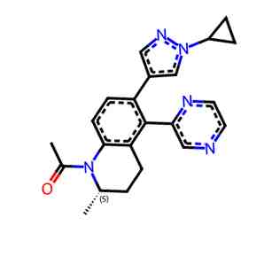 CC(=O)N1c2ccc(-c3cnn(C4CC4)c3)c(-c3cnccn3)c2CC[C@@H]1C